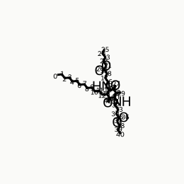 CCCCCCCCCCCCCC1=C(NCCCC(=O)OCCCC)C(=O)C(C)=C(NCCCC(=O)OCCC)C1=O